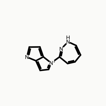 C1=CNN=C([N+]2=CC=C3N=CC=C32)C=C1